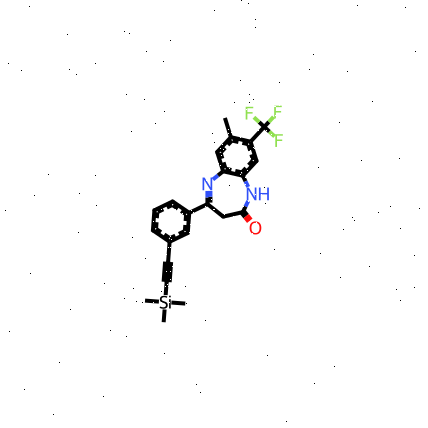 Cc1cc2c(cc1C(F)(F)F)NC(=O)CC(c1cccc(C#C[Si](C)(C)C)c1)=N2